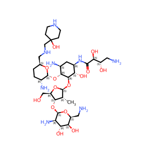 C[C@H]1[C@H](O[C@@H]2[C@@H](O)[C@H](NC(=O)[C@@H](O)[C@@H](O)CN)C[C@H](N)[C@H]2O[C@H]2O[C@H](CNCC3(O)CCNCC3)CC[C@H]2N)O[C@H](CO)[C@H]1O[C@H]1O[C@@H](CN)[C@@H](O)[C@H](O)[C@H]1N